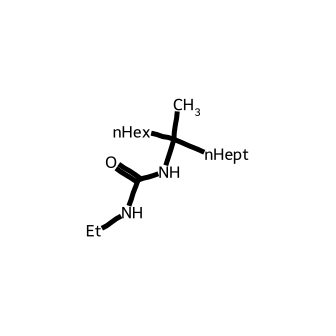 CCCCCCCC(C)(CCCCCC)NC(=O)NCC